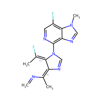 C=N/C(C)=c1/ncn(-c2ncc(F)c3c2ncn3C)/c1=C(/C)F